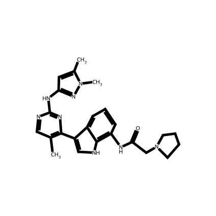 Cc1cnc(Nc2cc(C)n(C)n2)nc1-c1c[nH]c2c(NC(=O)CN3CCCC3)cccc12